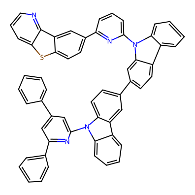 c1ccc(-c2cc(-c3ccccc3)nc(-n3c4ccccc4c4cc(-c5ccc6c7ccccc7n(-c7cccc(-c8ccc9sc%10cccnc%10c9c8)n7)c6c5)ccc43)c2)cc1